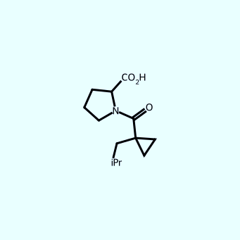 CC(C)CC1(C(=O)N2CCCC2C(=O)O)CC1